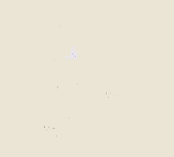 COc1cc(OC)cc(Oc2cs[c]n2)c1